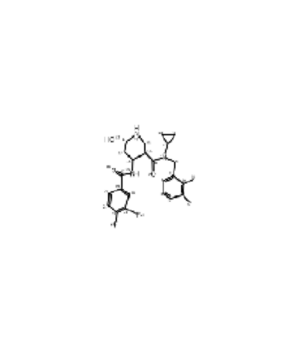 Cc1cccc(CN(C(=O)C2CNCCC2NC(=O)c2ccc(F)c(F)c2)C2CC2)c1C.Cl